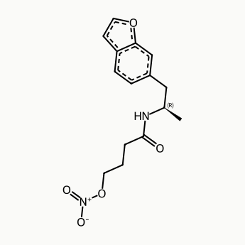 C[C@H](Cc1ccc2ccoc2c1)NC(=O)CCCO[N+](=O)[O-]